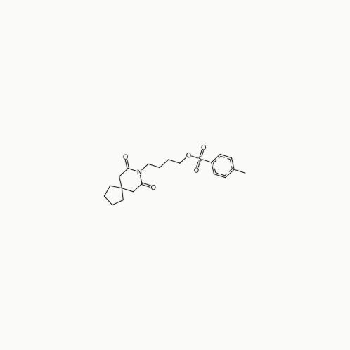 Cc1ccc(S(=O)(=O)OCCCCN2C(=O)CC3(CCCC3)CC2=O)cc1